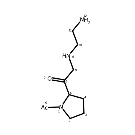 CC(=O)N1CCCC1C(=O)CNCCN